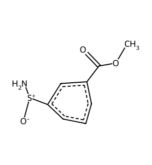 COC(=O)c1cccc([S+](N)[O-])c1